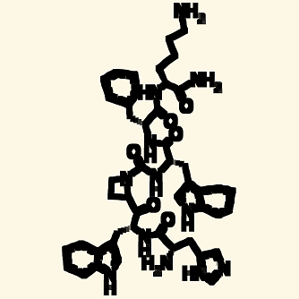 NCCCC[C@H](NC(=O)[C@@H](Cc1ccccc1)NC(=O)[C@H](Cc1c[nH]c2ccccc12)NC(=O)N1CCC1C(=O)[C@@H](Cc1c[nH]c2ccccc12)NC(=O)[C@@H](N)Cc1cnc[nH]1)C(N)=O